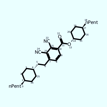 CCCCC[C@H]1CC[C@H](CCc2ccc(C(=O)O[C@H]3CC[C@H](CCCCC)CC3)c(C#N)c2C#N)CC1